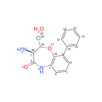 N[C@@H]1C(=O)Nc2cccc(-c3ccccc3)c2OC1Cl.O